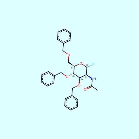 CC(=O)N[C@H]1[C@@H](OCc2ccccc2)[C@H](OCc2ccccc2)[C@@H](COCc2ccccc2)O[C@@H]1F